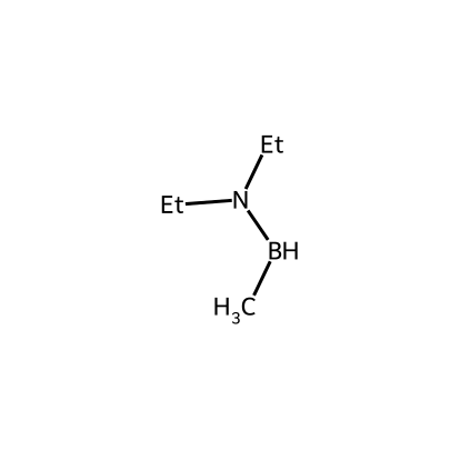 CBN(CC)CC